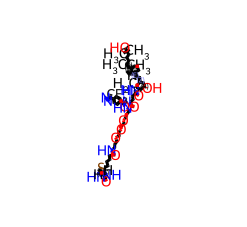 C=C1/C(=C\C=C2/CCC[C@]3(C)[C@@H]([C@H](C)CCCC(C)(C)O)CC[C@@H]23)C[C@@H](O)C[C@@H]1NC(=O)CCC(NC(=O)c1ccc(C2(C(F)(F)F)N=N2)cc1)C(=O)NCCCOCCOCCOCCCNC(=O)CCCCC1SC[C@@H]2NC(=O)N[C@H]12